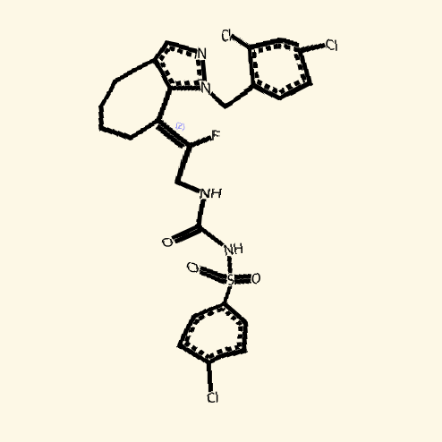 O=C(NC/C(F)=C1\CCCCc2cnn(Cc3ccc(Cl)cc3Cl)c21)NS(=O)(=O)c1ccc(Cl)cc1